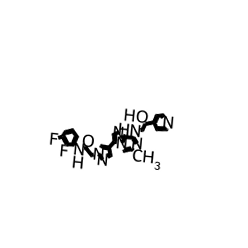 Cc1cn2c(-c3cnn(CC(=O)Nc4cccc(F)c4F)c3)cnc2c(NCC(O)c2ccncc2)n1